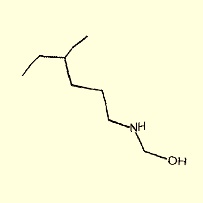 CCC(C)CCCNCO